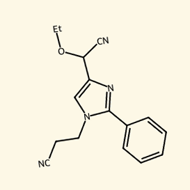 CCOC(C#N)c1cn(CCC#N)c(-c2ccccc2)n1